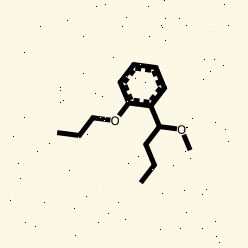 CCCOc1ccccc1C(CCC)OC